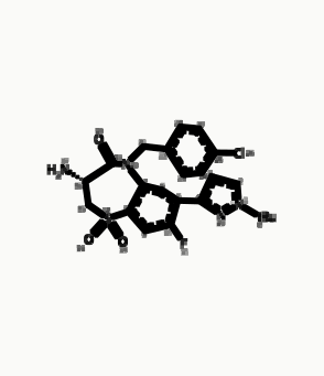 CC(C)(C)n1ccc(-c2cc3c(cc2F)S(=O)(=O)C[C@H](N)C(=O)N3Cc2ccc(Cl)cc2)n1